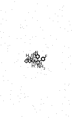 CN1CCCC1CC(=O)NNc1nc(N)nc(-c2ccc(F)cc2)c1-c1ccc2ncn(C)c2c1